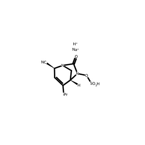 CC(C)C1=C[C@@H](C#N)N2C[C@@H]1N(OS(=O)(=O)O)C2=O.[H+].[Na+]